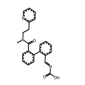 CN(CCc1ccccn1)C(=O)c1ccccc1-c1ccccc1C=NC(=O)O